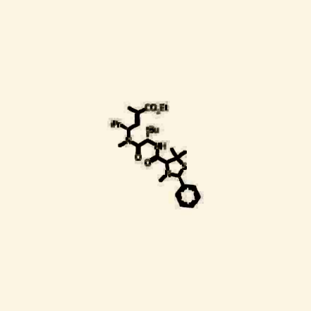 CCOC(=O)/C(C)=C/[C@H](C(C)C)N(C)C(=O)[C@@H](NC(=O)C1N(C)[C@H](c2ccccc2)SC1(C)C)C(C)(C)C